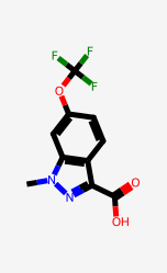 Cn1nc(C(=O)O)c2ccc(OC(F)(F)F)cc21